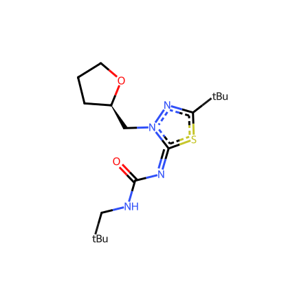 CC(C)(C)CNC(=O)N=c1sc(C(C)(C)C)nn1C[C@H]1CCCO1